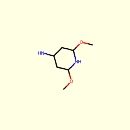 COC1CC([NH])CC(OC)N1